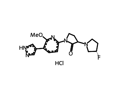 COc1nc(N2CCC(N3CC[C@H](F)C3)C2=O)ccc1-c1cn[nH]c1.Cl